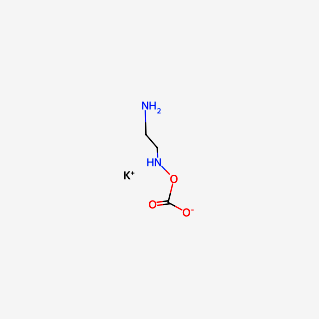 NCCNOC(=O)[O-].[K+]